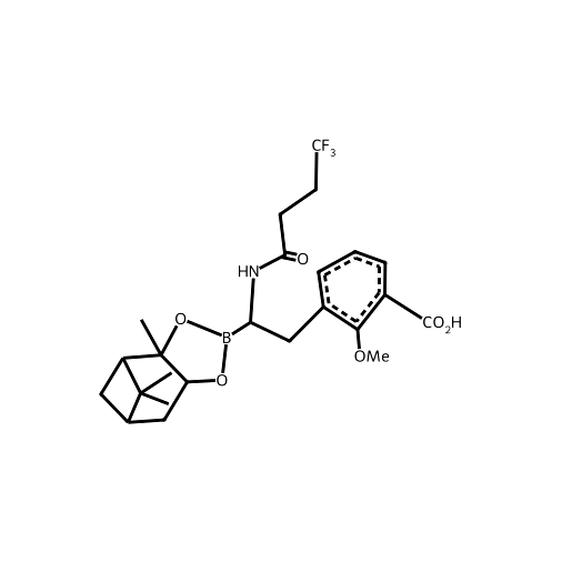 COc1c(CC(NC(=O)CCC(F)(F)F)B2OC3CC4CC(C4(C)C)C3(C)O2)cccc1C(=O)O